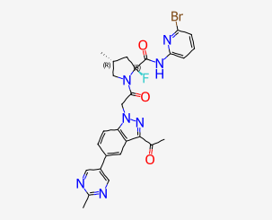 CC(=O)c1nn(CC(=O)N2C[C@H](C)C[C@]2(F)C(=O)Nc2cccc(Br)n2)c2ccc(-c3cnc(C)nc3)cc12